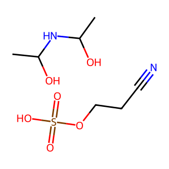 CC(O)NC(C)O.N#CCCOS(=O)(=O)O